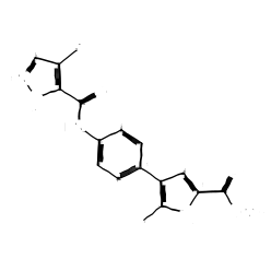 COC(=O)c1cc(-c2ccc(NC(=O)c3sncc3C)cc2)c(C)s1